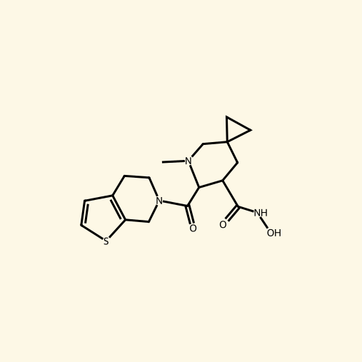 CN1CC2(CC2)CC(C(=O)NO)C1C(=O)N1CCc2ccsc2C1